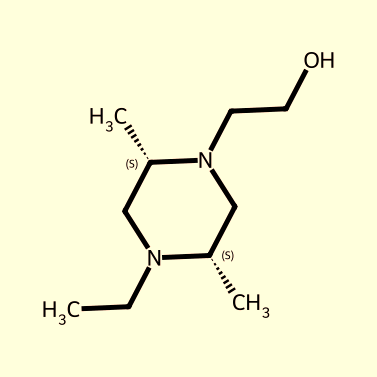 CCN1C[C@H](C)N(CCO)C[C@@H]1C